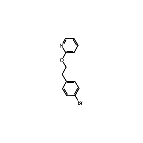 Brc1ccc(CCOc2ccccn2)cc1